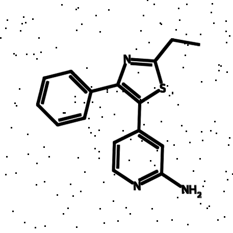 CCc1nc(-c2ccccc2)c(-c2ccnc(N)c2)s1